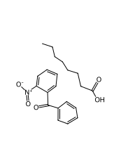 CCCCCCCC(=O)O.O=C(c1ccccc1)c1ccccc1[N+](=O)[O-]